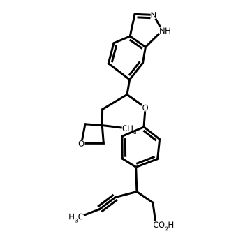 CC#CC(CC(=O)O)c1ccc(OC(CC2(C)COC2)c2ccc3cn[nH]c3c2)cc1